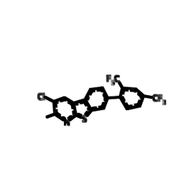 Cc1nc2sc3cc(-c4ccc(C(F)(F)F)cc4C(F)(F)F)ccc3c2cc1Cl